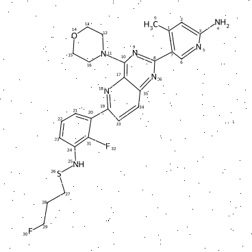 Cc1cc(N)ncc1-c1nc(N2CCOCC2)c2nc(-c3cccc(NSCCCF)c3F)ccc2n1